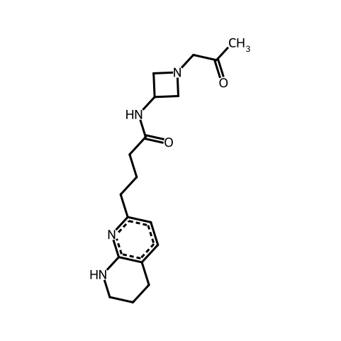 CC(=O)CN1CC(NC(=O)CCCc2ccc3c(n2)NCCC3)C1